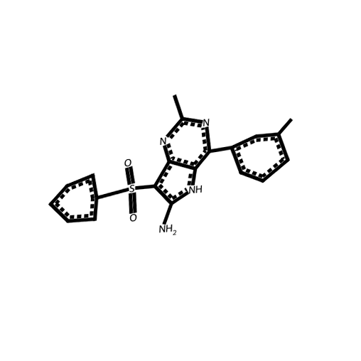 Cc1cccc(-c2nc(C)nc3c(S(=O)(=O)c4ccccc4)c(N)[nH]c23)c1